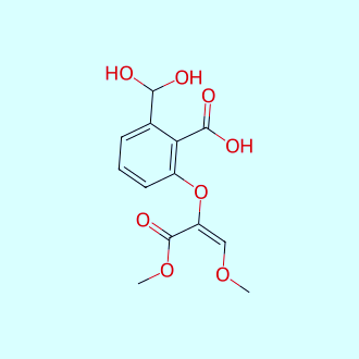 CO/C=C(/Oc1cccc(C(O)O)c1C(=O)O)C(=O)OC